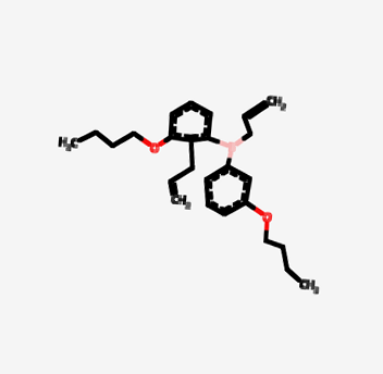 C=CCB(c1cccc(OCCCC)c1)c1cccc(OCCCC)c1CC=C